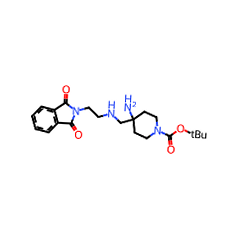 CC(C)(C)OC(=O)N1CCC(N)(CNCCN2C(=O)c3ccccc3C2=O)CC1